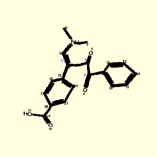 CN(C)/C=C(\C(=O)C(=O)c1ccccc1)c1ccc(C(=O)O)cc1